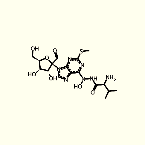 CSc1nc(N(O)NC(=O)C(N)C(C)C)c2ncn([C@]3(C=O)O[C@H](CO)[C@@H](O)[C@H]3O)c2n1